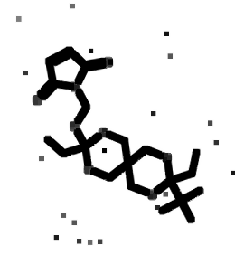 CCC1(OCN2C(=O)C=CC2=O)OCC2(CO1)COC(CC)(C(C)(C)C)OC2